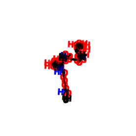 C=C1C[C@H]2[C@H](O)N(C(=O)OCc3ccc(O[C@@H]4O[C@H](C(=O)O)[C@@H](O)[C@H](O)[C@H]4O)cc3)c3cc(OCCCCCOc4cc5c(cc4OC)C(=O)N4CC(=C)C[C@H]4[C@H](O)N5C(=O)OCc4ccc(O[C@@H]5O[C@H](C(=O)O)[C@@H](O)[C@H](O)[C@H]5O)c(-n5cc(CNC(=O)CCOCCOCCOCCOCCNC(=O)OCC6[C@H]7CCC#CCC[C@@H]67)nn5)c4)c(OC)cc3C(=O)N2C1